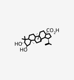 C=C(C)[C@@H]1CC[C@]2(C(=O)O)CC[C@]3(C)C(=CCC4[C@@]5(C)C[C@@H](O)[C@H](O)C(C)(C)C5CC[C@]43C)C12